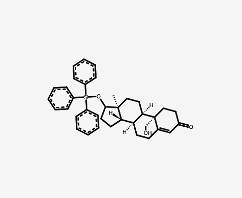 C[C@]12CC[C@@H]3[C@@H](CCC4=CC(=O)CC[C@@]43CO)[C@@H]1CCC2O[Si](c1ccccc1)(c1ccccc1)c1ccccc1